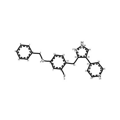 Fc1cc(OCc2ccccc2)ccc1Cc1n[nH]cc1-c1ccncc1